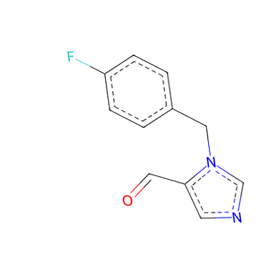 O=Cc1cncn1Cc1ccc(F)cc1